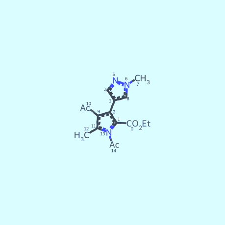 CCOC(=O)c1c(-c2cnn(C)c2)c(C(C)=O)c(C)n1C(C)=O